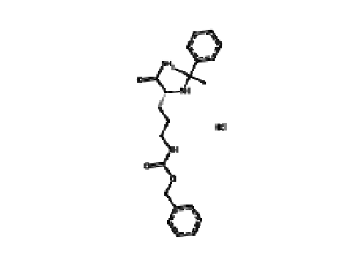 CC(C)(N[C@H](CCCNC(=O)OCc1ccccc1)C(N)=O)c1ccccc1.Cl